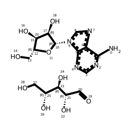 Nc1ncnc2c1ncn2[C@@H]1O[C@H](CO)[C@@H](O)[C@H]1O.O=C[C@H](O)[C@H](O)[C@H](O)CO